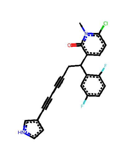 Cn1c(Cl)ccc(C(CC#CC#Cc2cc[nH]c2)c2cc(F)ccc2F)c1=O